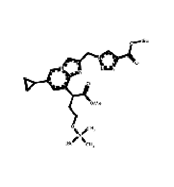 COC(=O)C(CCO[Si](C)(C)C(C)(C)C)c1cc(C2CC2)cn2cc(Cn3cc(C(=O)OC(C)(C)C)nn3)nc12